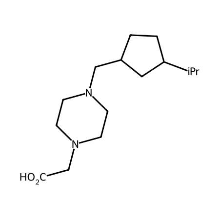 CC(C)C1CCC(CN2CCN(CC(=O)O)CC2)C1